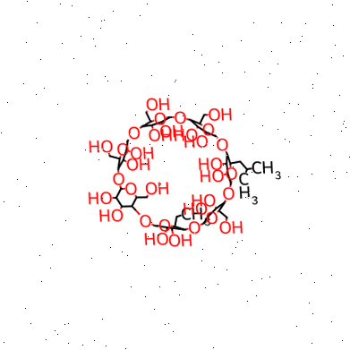 CCC1OC2OC3C(CO)OC(OC4C(CO)OC(OC5C(CO)OC(OC6C(CO)OC(OC7C(CC(C)C)OC(OC8C(CO)OC(OC1C(O)C2O)C(O)C8O)C(O)C7O)C(O)C6O)C(O)C5O)C(O)C4O)C(O)C3O